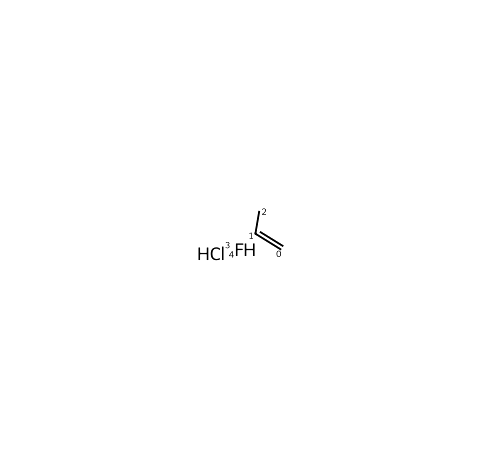 C=CC.Cl.F